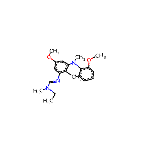 CCN(C)C=Nc1cc(OC)cc(N(C)c2ccccc2OC)c1C